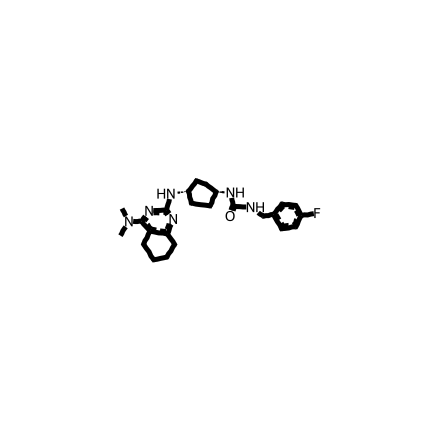 CN(C)c1nc(N[C@H]2CC[C@@H](NC(=O)NCc3ccc(F)cc3)CC2)nc2c1CCCC2